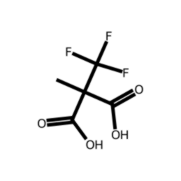 CC(C(=O)O)(C(=O)O)C(F)(F)F